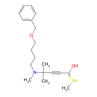 C[SH]=C(O)C#CC(C)(C)N(C)CCCCOCc1ccccc1